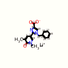 Cc1cc(-c2nc(C(=O)[O-])cn2Cc2ccccc2)cn(C)c1=O.[Li+]